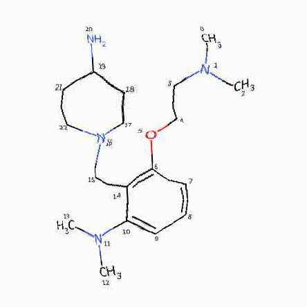 CN(C)CCOc1cccc(N(C)C)c1CN1CCC(N)CC1